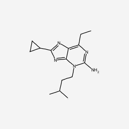 CCc1nc(N)n(CCC(C)C)c2nc(C3CC3)nc1-2